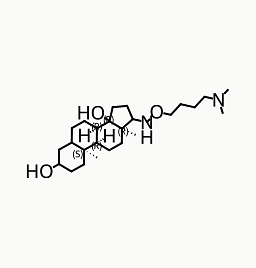 CN(C)CCCCONC1CC[C@@]2(O)[C@@H]3CCC4CC(O)CC[C@]4(C)[C@@H]3CC[C@]12C